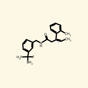 BC(F)(P)c1cccc(CNC(=O)C/C(=C/C)c2ccccc2C)c1